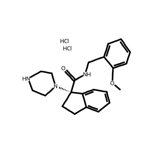 COc1ccccc1CNC(=O)[C@]1(N2CCNCC2)CCc2ccccc21.Cl.Cl